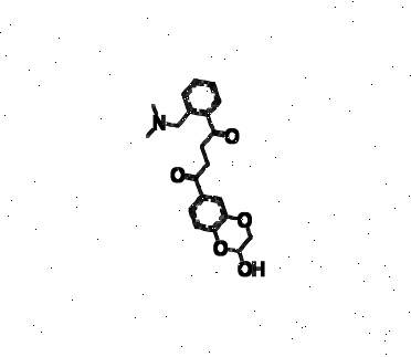 CN(C)Cc1ccccc1C(=O)CCC(=O)c1ccc2c(c1)OCC(O)O2